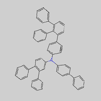 c1ccc(-c2ccc(N(c3ccc(-c4cccc(-c5ccccc5)c4-c4ccccc4)cc3)c3ccc(-c4ccccc4)c(-c4ccccc4)c3)cc2)cc1